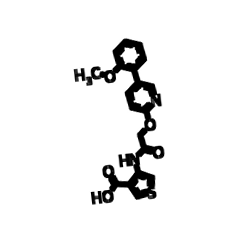 COc1ccccc1-c1ccc(OCC(=O)Nc2cscc2C(=O)O)nc1